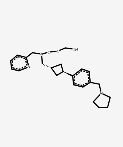 OCCCN(Cc1ccccn1)C[C@H]1C[C@H](c2ccc(CN3CCCC3)cc2)C1